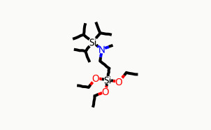 CCO[Si](CCN(C)[Si](C(C)C)(C(C)C)C(C)C)(OCC)OCC